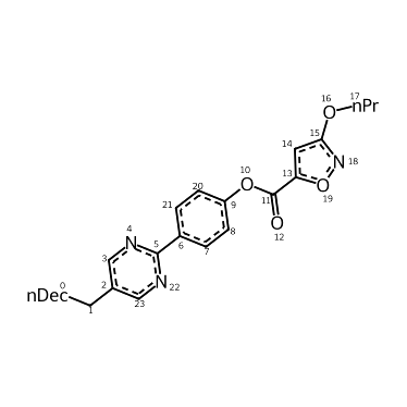 CCCCCCCCCCCc1cnc(-c2ccc(OC(=O)c3cc(OCCC)no3)cc2)nc1